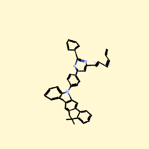 C=C/C=C\C=C\c1cc(-c2ccc(-n3c4ccccc4c4cc5c(cc43)-c3ccccc3C5(C)C)cc2)nc(-c2ccccc2)n1